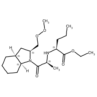 CCC[C@H](N[C@@H](C)C(=O)N1[C@H](COOC)C[C@@H]2CCCC[C@@H]21)C(=O)OCC